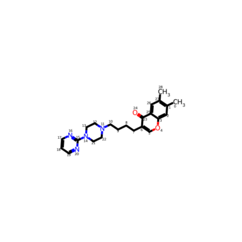 Cc1cc2occ(CCCCN3CCN(c4ncccn4)CC3)c(=O)c2cc1C